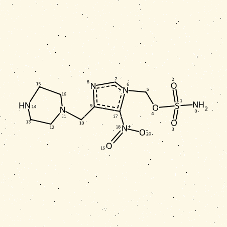 NS(=O)(=O)OCn1cnc(CN2CCNCC2)c1[N+](=O)[O-]